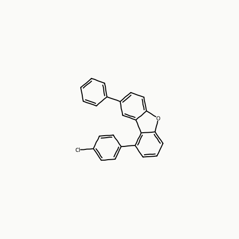 Clc1ccc(-c2cccc3oc4ccc(-c5ccccc5)cc4c23)cc1